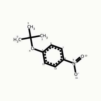 CC(C)(C)Oc1ccc([N+](=O)[O-])cc1